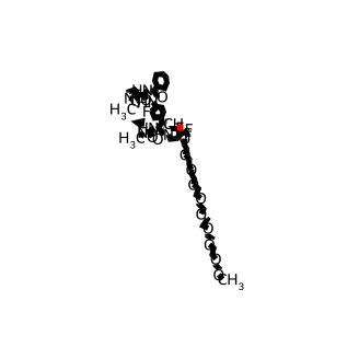 CCn1nccc1C(=O)N[C@H](C(=O)Nc1ccc([C@H](C)[C@@H](NC(=O)N(C)C2CC2)C(=O)N2CCC(OCCOCCOCCOCCOCCOCCOCCOCCOCCOC)(C(F)(F)F)CC2)cc1F)C1CCCCCC1